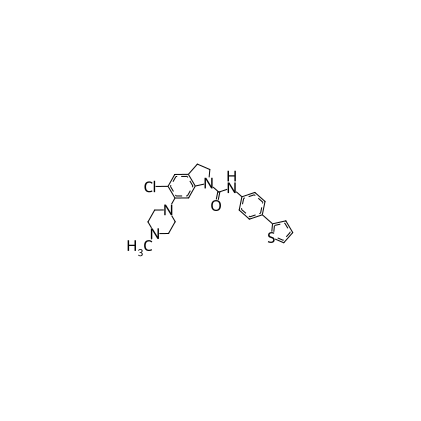 CN1CCN(c2cc3c(cc2Cl)CCN3C(=O)Nc2ccc(-c3cccs3)cc2)CC1